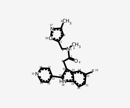 Cc1cc(CN(C)C(=O)Cc2c(-c3ccncc3)[nH]c3ccc(F)cc23)on1